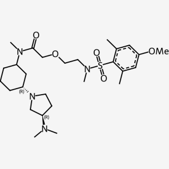 COc1cc(C)c(S(=O)(=O)N(C)CCOCC(=O)N(C)C2CCC[C@@H](N3CC[C@@H](N(C)C)C3)C2)c(C)c1